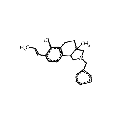 CC=Cc1ccc2c(c1Cl)CCC1(C)CN(Cc3ccccc3)CC21